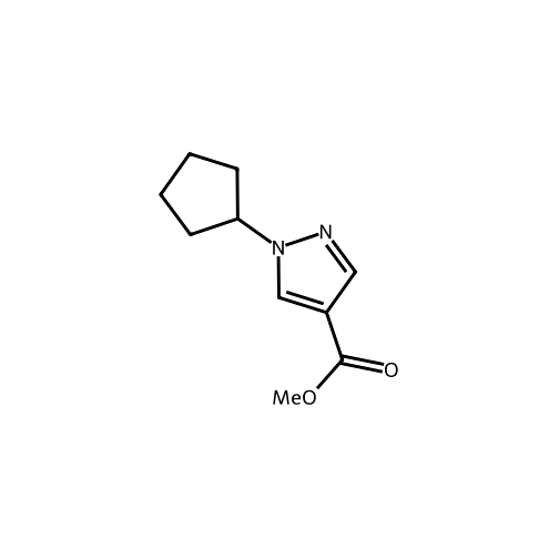 COC(=O)c1cnn(C2CCCC2)c1